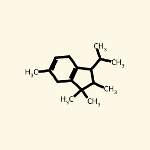 CC1=CCC2=C(C1)C(C)(C)C(C)C2C(C)C